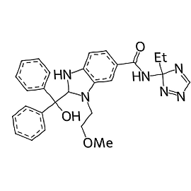 CCC1(NC(=O)c2ccc3c(c2)N(CCOC)C(C(O)(c2ccccc2)c2ccccc2)N3)N=CN=N1